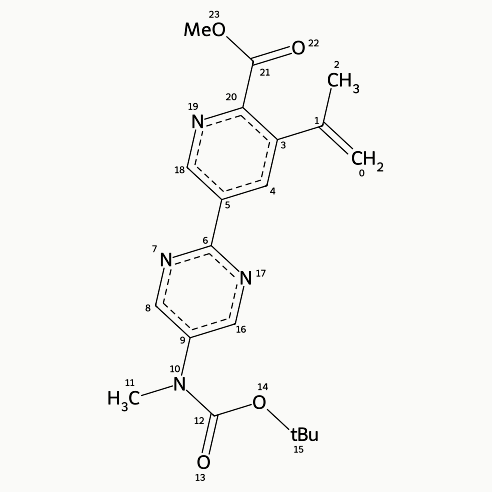 C=C(C)c1cc(-c2ncc(N(C)C(=O)OC(C)(C)C)cn2)cnc1C(=O)OC